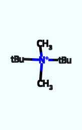 CC(C)(C)[N+](C)(C)C(C)(C)C